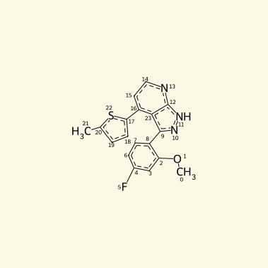 COc1cc(F)ccc1-c1n[nH]c2nccc(-c3ccc(C)s3)c12